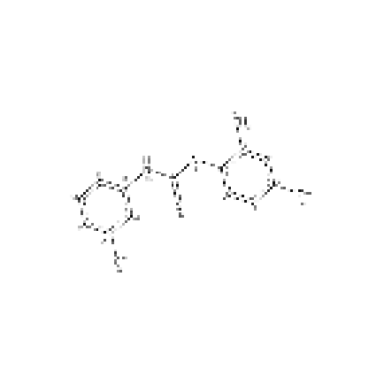 Cc1cc(O)ccc1NC(=S)Nc1cccc(C(F)(F)F)c1